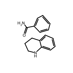 NC(=O)c1ccccc1.c1ccc2c(c1)CCCN2